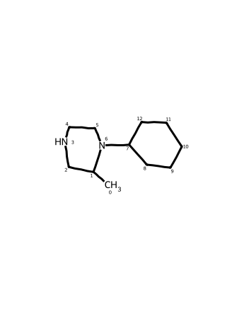 CC1CNCCN1C1CCCCC1